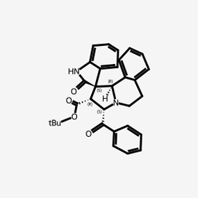 CC(C)(C)OC(=O)[C@H]1[C@@H](C(=O)c2ccccc2)N2CCc3ccccc3[C@@H]2[C@]12C(=O)Nc1ccccc12